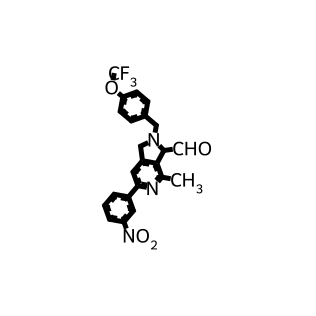 Cc1nc(-c2cccc([N+](=O)[O-])c2)cc2c1C(C=O)N(Cc1ccc(OC(F)(F)F)cc1)C2